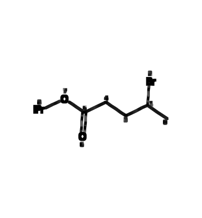 CC(Br)CCC(=O)OC(C)C